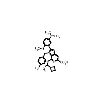 CC(Nc1nc(C(=O)O)nc2nc(-c3cc(N(C)C)ccc3OC(F)(F)F)n(Cc3ccc(C(F)(F)F)cc3)c12)C1CCC1